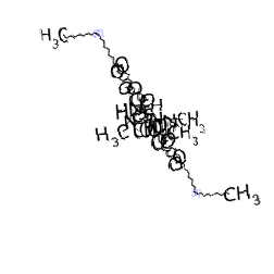 CCCCCCCC/C=C\CCCCCCCC(=O)Oc1ccc(CC(=O)OCCOC(=O)C(CSSCC(NC(=O)CN(CCC)CCC)C(=O)OCCOC(=O)Cc2ccc(OC(=O)CCCCCCC/C=C\CCCCCCCC)cc2)NC(=O)CN(CCC)CCC)cc1